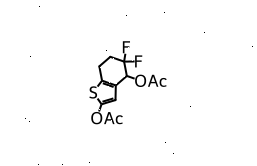 CC(=O)Oc1cc2c(s1)CCC(F)(F)C2OC(C)=O